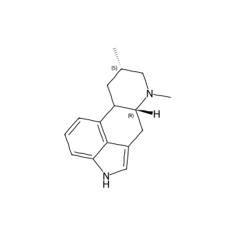 C[C@H]1CC2c3cccc4[nH]cc(c34)C[C@H]2N(C)C1